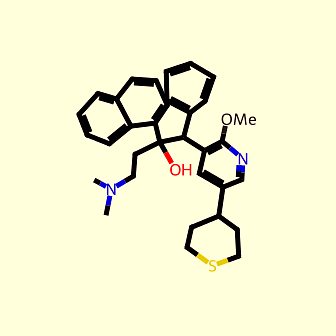 COc1ncc(C2CCSCC2)cc1C(c1ccccc1)C(O)(CCN(C)C)c1cccc2ccccc12